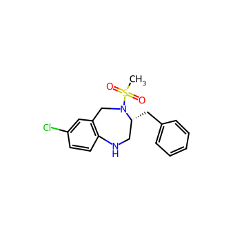 CS(=O)(=O)N1Cc2cc(Cl)ccc2NC[C@H]1Cc1ccccc1